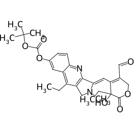 CCc1c2c(nc3ccc(OC(=O)OC(C)(C)C)cc13)/C(=C/C1=C(C=O)COC(=O)C1(O)CC)N(C)C2